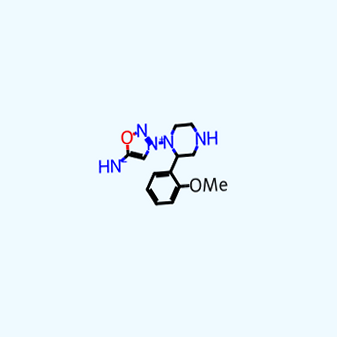 COc1ccccc1C1CNCCN1[n+]1cc([NH-])on1